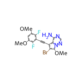 COc1cc(OC)c(F)c(C#Cc2c(Br)c(OC)n3ncnc(N)c23)c1F